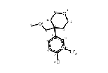 COCC1(c2ccc(Cl)[n+]([O-])c2)CCOCC1